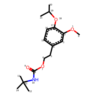 COc1cc(CCOC(=O)NC(C)(C)C)ccc1OC(C)C